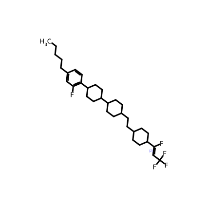 CCCCCc1ccc(C2CCC(C3CCC(CCC4CCC(/C(F)=C/C(F)(F)F)CC4)CC3)CC2)c(F)c1